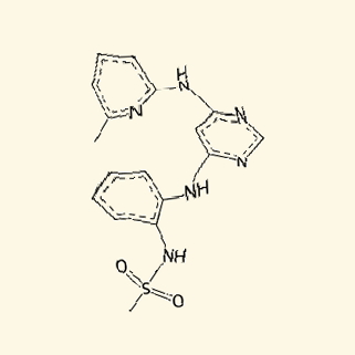 Cc1cccc(Nc2cc(Nc3ccccc3NS(C)(=O)=O)ncn2)n1